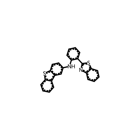 c1ccc(-c2nc3ccccc3s2)c(Nc2ccc3sc4ccccc4c3c2)c1